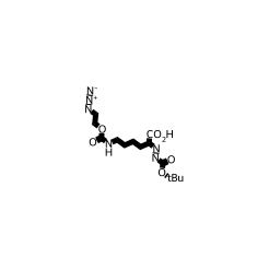 CC(C)(C)OC(=O)N=NC(CCCCNC(=O)OCCN=[N+]=[N-])C(=O)O